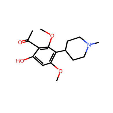 COc1cc(O)c(C(C)=O)c(OC)c1C1CCN(C)CC1